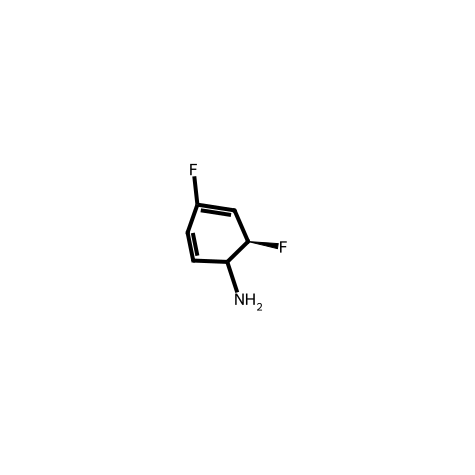 NC1C=CC(F)=C[C@H]1F